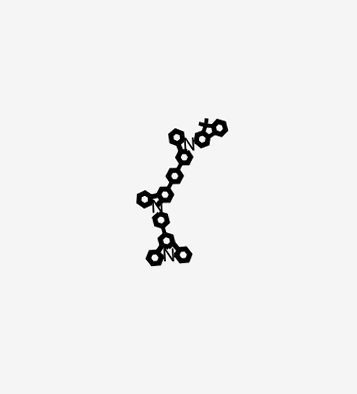 CC1(C)c2ccccc2-c2ccc(-n3c4ccccc4c4cc(-c5ccc(-c6ccc7c(c6)c6ccccc6n7-c6ccc(-c7cc8c9ccccc9n9c%10ccccc%10c(c7)c89)cc6)cc5)ccc43)cc21